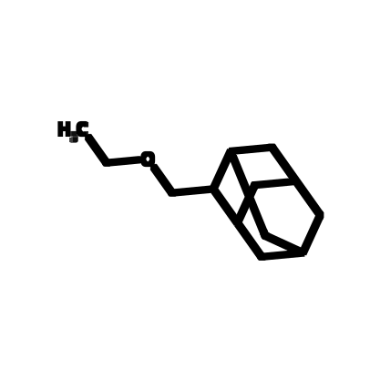 CCOCC1C2CC3CC(C2)CC1C3